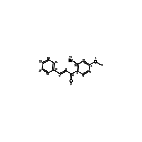 COc1ccc(C(=O)/C=C/c2ccccc2)c(Br)c1